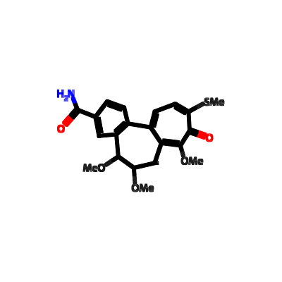 COc1c2c(ccc(SC)c1=O)-c1ccc(C(N)=O)cc1C(OC)C(OC)[C]2